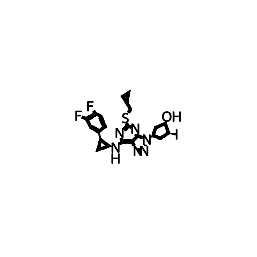 O[C@H]1C[C@@H](n2nnc3c(N[C@@H]4C[C@H]4c4ccc(F)c(F)c4)nc(SCC4CC4)nc32)C[C@@H]1I